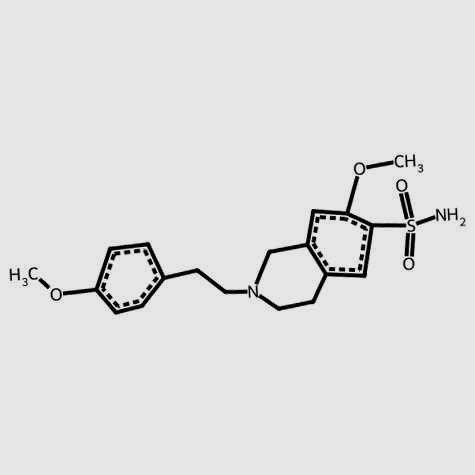 COc1ccc(CCN2CCc3cc(S(N)(=O)=O)c(OC)cc3C2)cc1